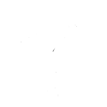 Cl.FC(F)(F)COc1ccc(OCC(F)(F)F)c([C@H]2CO[C@]3(CCCN[C@H]3c3ccccc3)C2)c1